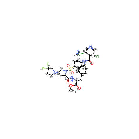 COC(=O)[C@H](Cc1ccc(NC(=O)c2c(Cl)cncc2Cl)cc1)NC(=O)C1C[C@@H](N2CCC(F)(F)C2)CN1S(=O)(=O)c1cccc(C#N)c1